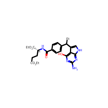 CCOC(=O)CC[C@@H](NC(=O)c1ccc(C(CC)c2c[nH]c3nc(N)nc(O)c23)cc1)C(=O)OCC